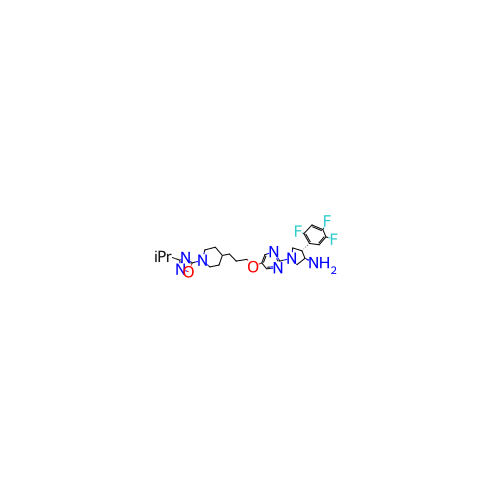 CC(C)c1noc(N2CCC(CCCOc3cnc(N4C[C@H](c5cc(F)c(F)cc5F)[C@@H](N)C4)nc3)CC2)n1